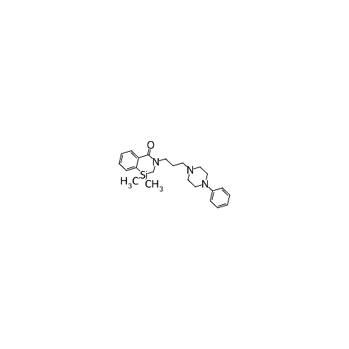 C[Si]1(C)CN(CCCN2CCN(c3ccccc3)CC2)C(=O)c2ccccc21